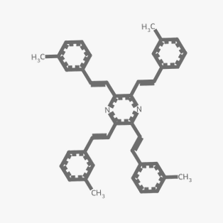 Cc1cccc(C=Cc2nc(C=Cc3cccc(C)c3)c(C=Cc3cccc(C)c3)nc2C=Cc2cccc(C)c2)c1